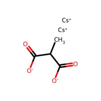 CC(C(=O)[O-])C(=O)[O-].[Cs+].[Cs+]